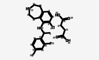 CC(Nc1c(Cl)ccc2c1CCNCC2)c1ccc(F)cc1F.O=C(O)CCC(=O)O